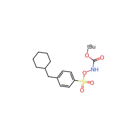 CC(C)(C)OC(=O)NOS(=O)(=O)c1ccc(CC2CCCCC2)cc1